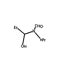 CCCN([C]=O)C(O)CC